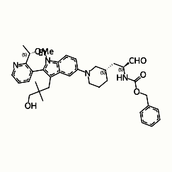 CCn1c(-c2cccnc2[C@H](C)OC)c(CC(C)(C)CO)c2cc(N3CCC[C@@H](C[C@@H](C=O)NC(=O)OCc4ccccc4)C3)ccc21